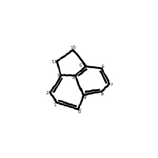 [c]1ccc2c3c(cccc13)CC2